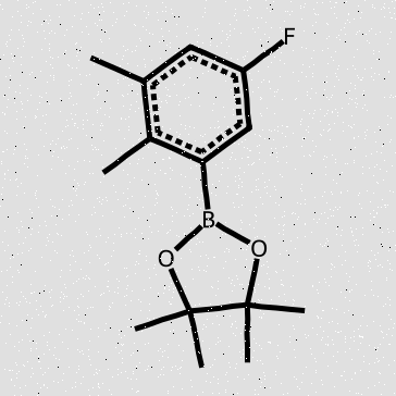 Cc1cc(F)cc(B2OC(C)(C)C(C)(C)O2)c1C